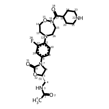 CC(=O)NC[C@H]1CN(c2ccc(N3CCON(C(=O)C4CCNCC4)CC3)c(F)c2)C(=O)O1